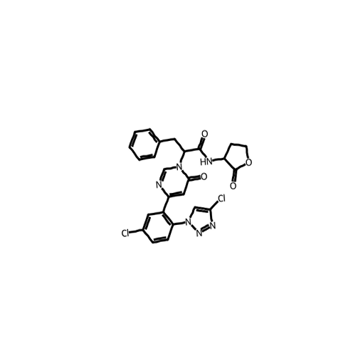 O=C1OCCC1NC(=O)C(Cc1ccccc1)n1cnc(-c2cc(Cl)ccc2-n2cc(Cl)nn2)cc1=O